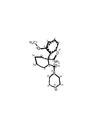 COc1ccccc1C1(C(N)=O)CCCCC1C(=O)N1CCNCC1